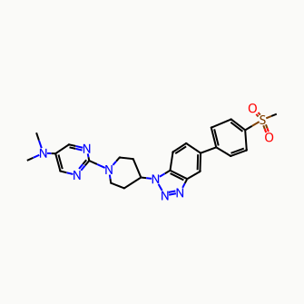 CN(C)c1cnc(N2CCC(n3nnc4cc(-c5ccc(S(C)(=O)=O)cc5)ccc43)CC2)nc1